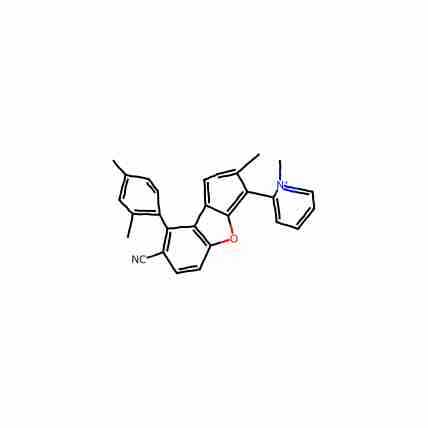 Cc1ccc(-c2c(C#N)ccc3oc4c(-c5cccc[n+]5C)c(C)ccc4c23)c(C)c1